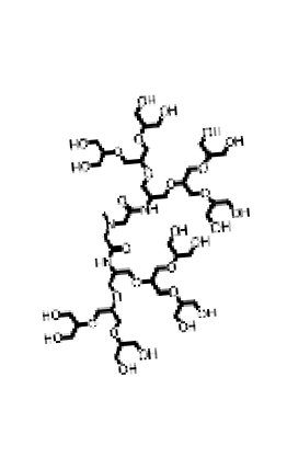 CN(CC(=O)NC(COC(COC(CO)CO)COC(CO)CO)COC(COC(CO)CO)COC(CO)CO)CC(=O)NC(COC(COC(CO)CO)COC(CO)CO)COC(COC(CO)CO)COC(CO)CO